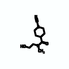 CN(CCO)C(=O)C1CCB(C#N)CC1